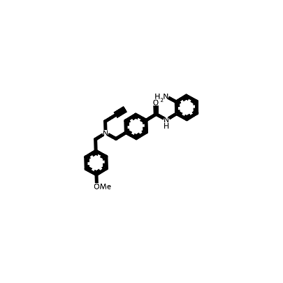 C#CCN(Cc1ccc(OC)cc1)Cc1ccc(C(=O)Nc2ccccc2N)cc1